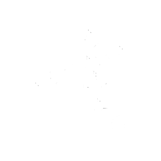 CN1C(=CC(=O)c2ccc(C#N)cc2)N([C@H]2[C@@H]3CN(S(=O)(=O)Cc4ccccc4)C[C@@H]32)C(=O)C1(c1ccncc1)c1ccncc1